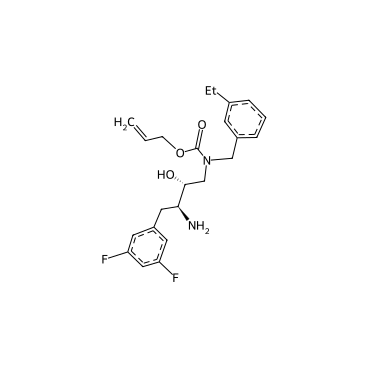 C=CCOC(=O)N(Cc1cccc(CC)c1)C[C@@H](O)[C@@H](N)Cc1cc(F)cc(F)c1